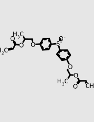 C=CC(=O)OC(C)COc1ccc([S+]([O-])c2ccc(OCC(C)OC(=O)C=C)cc2)cc1